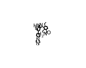 CCc1ccc(C(N)=O)c(CC)c1-c1n[nH]c2ncc(-c3ccc(N4CCN(C)CC4)cc3)cc12